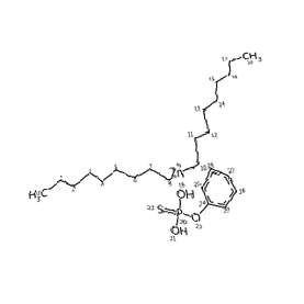 CCCCCCCC[CH2][Zn][CH2]CCCCCCCC.OP(O)(=S)Oc1ccccc1